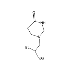 CCCCC(CC)CN1CCC(=O)NC1